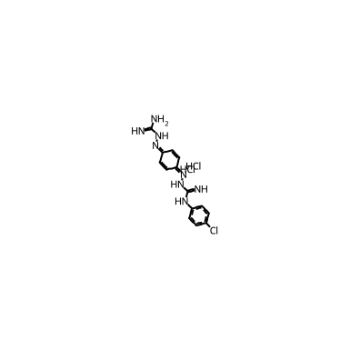 Cl.Cl.N=C(N)NN=C1C=CC(=NNC(=N)Nc2ccc(Cl)cc2)C=C1